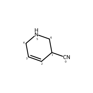 N#CC1C=CCNC1